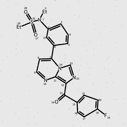 CCN(c1cccc(-c2ccnc3c(C(=O)c4ccc(F)cc4)ncn23)c1)S(=O)(=O)CC